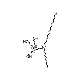 CCCCCCCCCCCCCCCCCC[N+](C)(CCCCCCCCCC)CCC[Si](OCCCO)(OCCCO)OCCCO